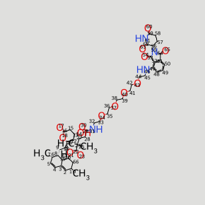 C[C@H]1C=C2C=C[C@H](C)[C@H](CC[C@@H]3C[C@@H](O)CC(=O)O3)[C@H]2[C@@H](OC(=O)C(C)(C)CCC(=O)NCCOCCOCCOCCOCCNc2cccc3c2C(=O)N(C2CCC(=O)NC2=O)C3=O)C1